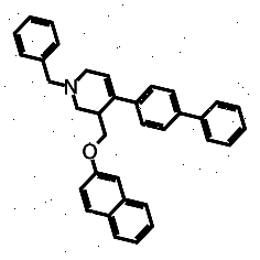 C1=C(c2ccc(-c3ccccc3)cc2)C(COc2ccc3ccccc3c2)CN(Cc2ccccc2)C1